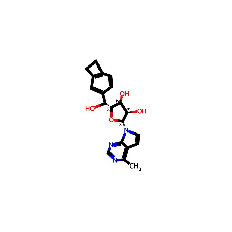 Cc1ncnc2c1ccn2[C@@H]1O[C@H](C(O)c2ccc3c(c2)CC3)[C@@H](O)[C@H]1O